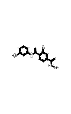 C=C(BCCC)c1ccc(C(=C)Nc2cccc(N)c2)c(CC)c1